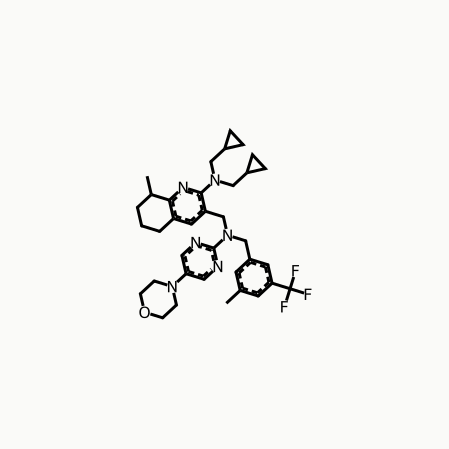 Cc1cc(CN(Cc2cc3c(nc2N(CC2CC2)CC2CC2)C(C)CCC3)c2ncc(N3CCOCC3)cn2)cc(C(F)(F)F)c1